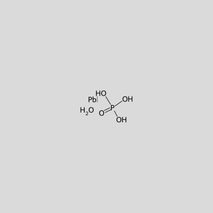 O.O=P(O)(O)O.[Pb]